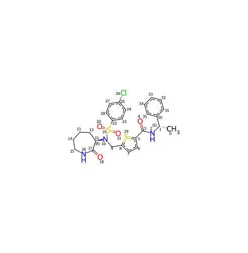 C[C@H](NC(=O)c1ccc(CN([C@@H]2CCCCNC2=O)S(=O)(=O)c2ccc(Cl)cc2)s1)c1ccccc1